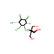 CCC(CO)(CO)CO.Cl[C@H]1[C@H](Cl)[C@@H](Cl)[C@@H](Cl)[C@H](Cl)[C@H]1Cl